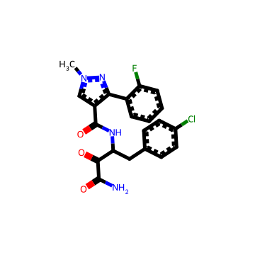 Cn1cc(C(=O)NC(Cc2ccc(Cl)cc2)C(=O)C(N)=O)c(-c2ccccc2F)n1